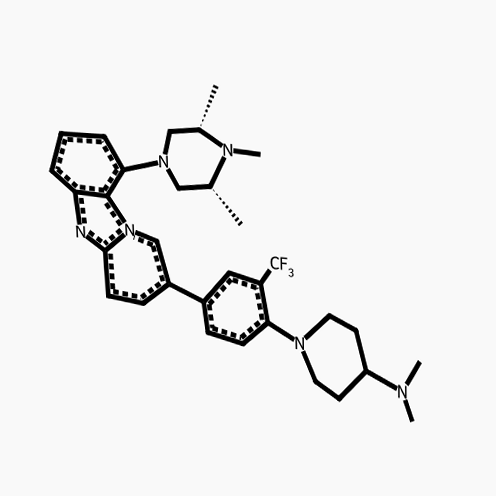 C[C@@H]1CN(c2cccc3nc4ccc(-c5ccc(N6CCC(N(C)C)CC6)c(C(F)(F)F)c5)cn4c23)C[C@H](C)N1C